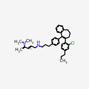 C=C(/C=C/CNCCCc1ccc(C2=C(c3ccc(CCC)cc3Cl)CCCc3ccccc32)cc1)N(C)C